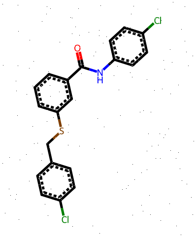 O=C(Nc1ccc(Cl)cc1)c1cccc(SCc2ccc(Cl)cc2)c1